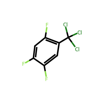 Fc1cc(F)c(C(Cl)(Cl)Cl)cc1F